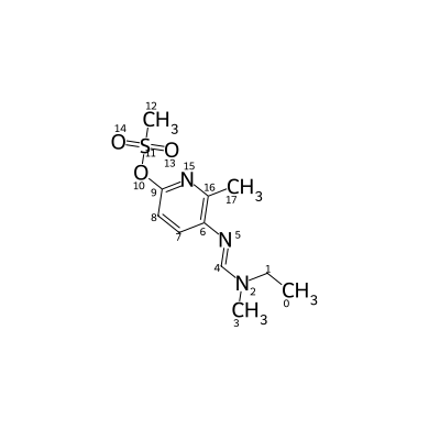 CCN(C)/C=N/c1ccc(OS(C)(=O)=O)nc1C